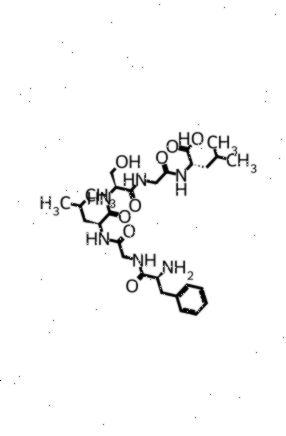 CC(C)C[C@H](NC(=O)CNC(=O)[C@H](CO)NC(=O)[C@H](CC(C)C)NC(=O)CNC(=O)[C@@H](N)Cc1ccccc1)C(=O)O